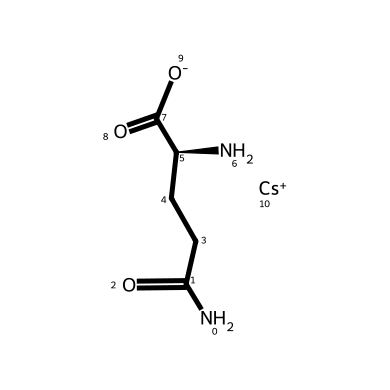 NC(=O)CC[C@H](N)C(=O)[O-].[Cs+]